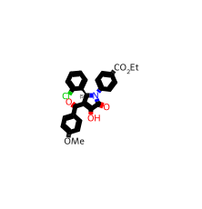 CCOC(=O)c1ccc(N2C(=O)C(O)=C(C(=O)c3ccc(OC)cc3)[C@H]2c2ccccc2Cl)cc1